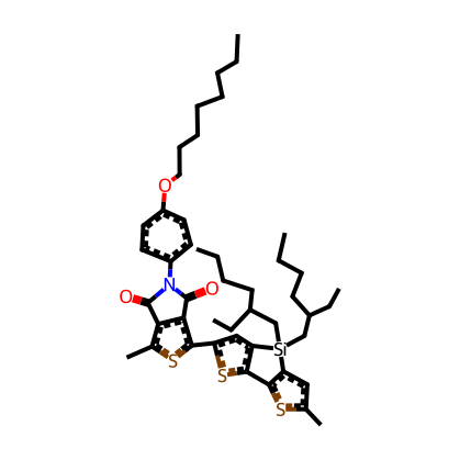 CCCCCCCCOc1ccc(N2C(=O)c3c(C)sc(-c4cc5c(s4)-c4sc(C)cc4[Si]5(CC(CC)CCCC)CC(CC)CCCC)c3C2=O)cc1